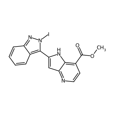 COC(=O)c1ccnc2cc(-c3c4ccccc4nn3I)[nH]c12